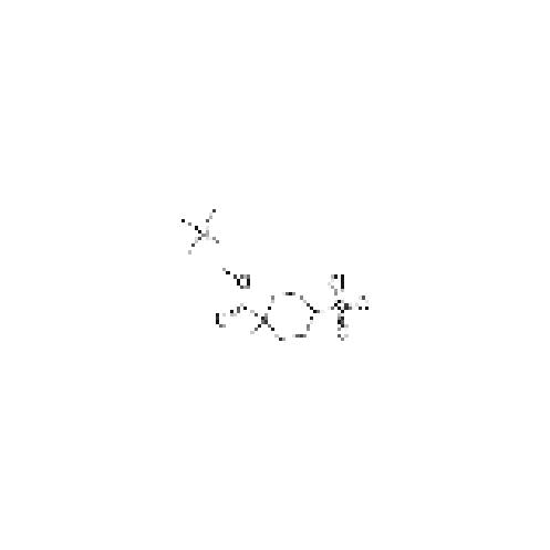 CC1(C(=O)OCC[Si](C)(C)C)CCC(S(=O)(=O)Cl)CC1